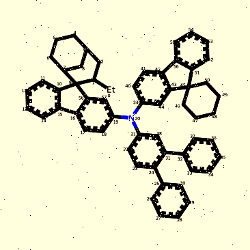 CCC1CC2CCCC(C2)C12c1ccccc1-c1ccc(N(c3ccc(-c4ccccc4)c(-c4ccccc4)c3)c3ccc4c(c3)C3(CCCCC3)c3ccccc3-4)cc12